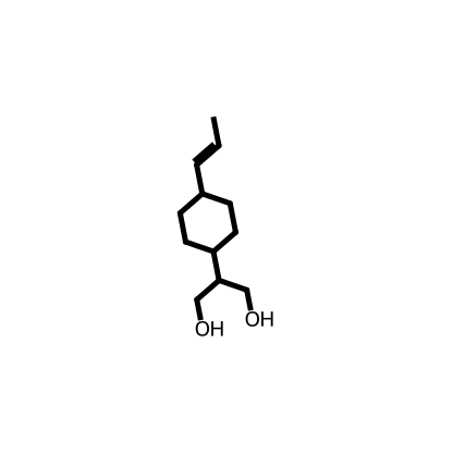 CC=CC1CCC(C(CO)CO)CC1